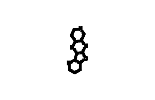 c1cnc2c(c1)oc1nc3cnccc3nc12